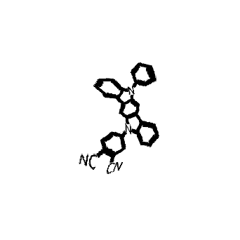 N#Cc1ccc(-n2c3ccccc3c3cc4c(cc32)c2ccccc2n4-c2ccccc2)cc1C#N